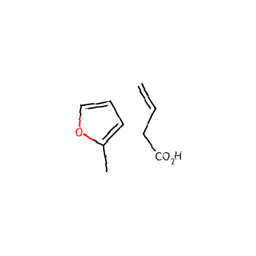 C=CCC(=O)O.Cc1ccco1